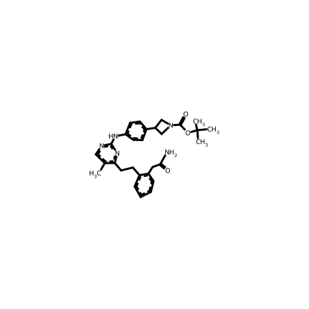 Cc1cnc(Nc2ccc(C3CN(C(=O)OC(C)(C)C)C3)cc2)nc1CCc1ccccc1CC(N)=O